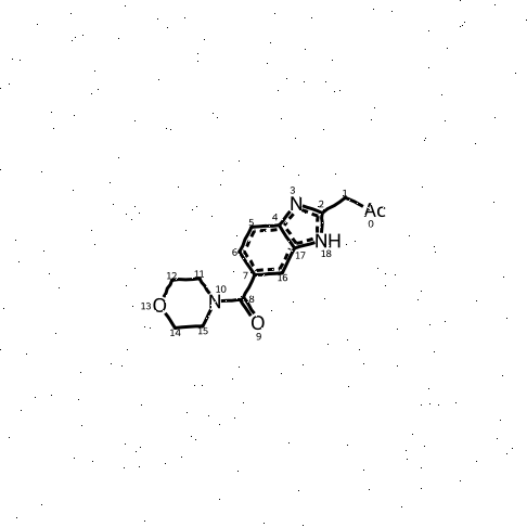 CC(=O)Cc1nc2ccc(C(=O)N3CCOCC3)cc2[nH]1